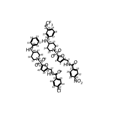 O=C(NCc1ccc(S(=O)(=O)N2CCC(Nc3cccc(SC(F)(F)F)c3)CC2)o1)c1ccc([N+](=O)[O-])cc1.O=C(NCc1ccc(S(=O)(=O)N2CCC(Nc3ccccc3)CC2)o1)c1ccc(Cl)cc1